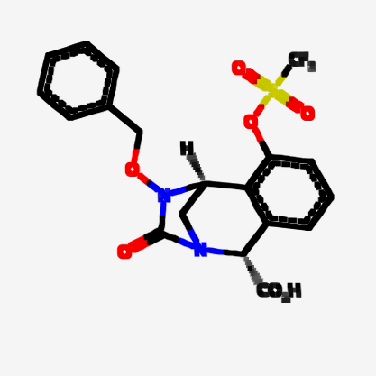 O=C(O)[C@H]1c2cccc(OS(=O)(=O)C(F)(F)F)c2[C@H]2CN1C(=O)N2OCc1ccccc1